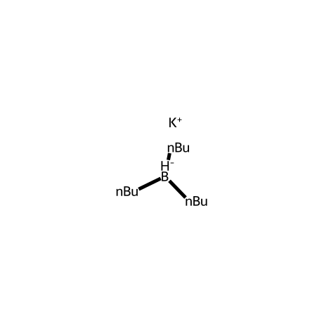 CCCC[BH-](CCCC)CCCC.[K+]